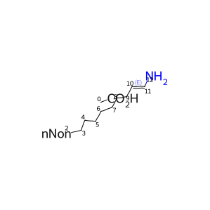 CC(=O)O.CCCCCCCCCCCCCCCC/C=C/N